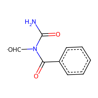 NC(=O)N([C]=O)C(=O)c1ccccc1